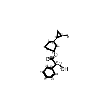 C[C@@H]1C[C@@H]1C1CCCC(OC(=O)[C@H](CO)c2ccccc2)C1